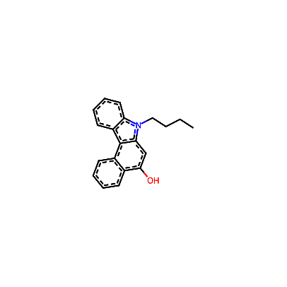 CCCCn1c2ccccc2c2c3ccccc3c(O)cc21